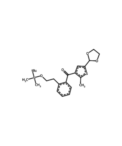 Cc1sc(C2OCCO2)cc1C(=O)c1ccccc1CCO[Si](C)(C)C(C)(C)C